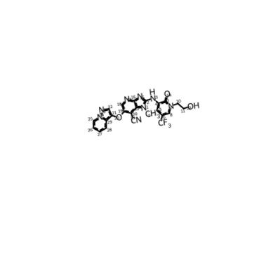 Cn1c(Nc2cc(C(F)(F)F)cn(CCO)c2=O)nc2ncc(Oc3cnn4ccccc34)c(C#N)c21